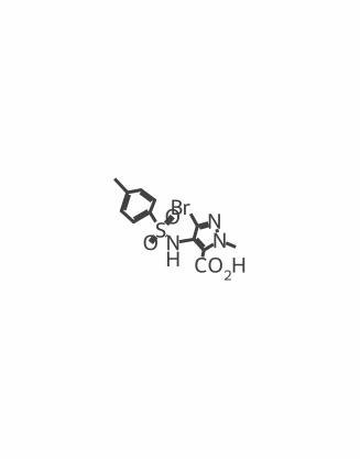 Cc1ccc(S(=O)(=O)Nc2c(Br)nn(C)c2C(=O)O)cc1